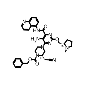 CN1CCC[C@H]1COc1nc(C(=O)Nc2cccc3ncccc23)c(N)c(N2CCN(C(=O)OCc3ccccc3)[C@@H](CC#N)C2)n1